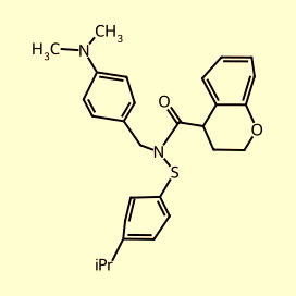 CC(C)c1ccc(SN(Cc2ccc(N(C)C)cc2)C(=O)C2CCOc3ccccc32)cc1